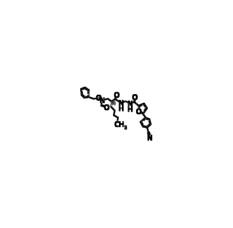 CCCCC[C@H](CN(C=O)OCc1ccccc1)C(=O)NCNC(=O)c1ccc(-c2ccc(C#N)cc2)o1